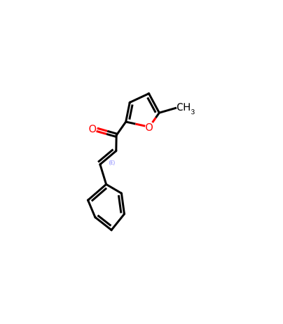 Cc1ccc(C(=O)/C=C/c2ccccc2)o1